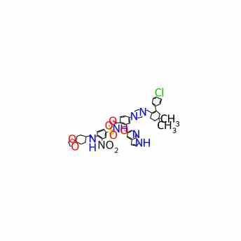 CC1(C)CCC(CN2CCN(c3ccc(C(=O)NS(=O)(=O)c4ccc(NCC5CCC6(CC5)OCCO6)c([N+](=O)[O-])c4)c(Oc4cnc5[nH]ccc5c4)c3)CC2)=C(c2ccc(Cl)cc2)C1